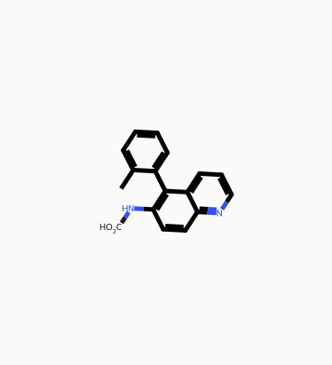 Cc1ccccc1-c1c(NC(=O)O)ccc2ncccc12